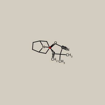 C=CC1(CC#N)CC2CCC(C1)N2C(=O)OC(C)(C)C